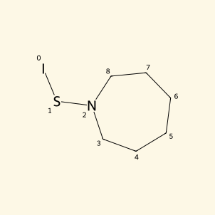 ISN1CCCCCC1